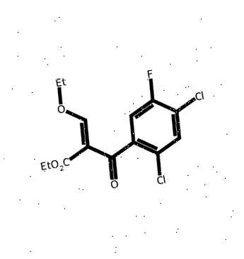 CCOC=C(C(=O)OCC)C(=O)c1cc(F)c(Cl)cc1Cl